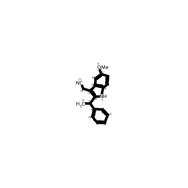 COc1ccc2[nH]c(C(C)c3ccccc3)c(CC#N)c2c1